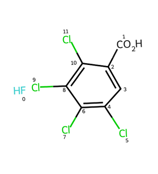 F.O=C(O)c1cc(Cl)c(Cl)c(Cl)c1Cl